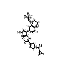 O=C(C1CC1)N1CC=C(c2cnc3[nH]cc(-c4ccc5c(c4)N(CC(F)(F)F)CCO5)c3n2)C1